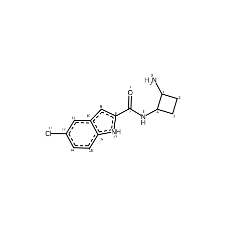 NC1CCC1NC(=O)c1cc2cc(Cl)ccc2[nH]1